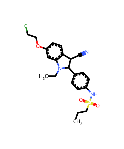 CCCS(=O)(=O)Nc1ccc(C2C(C#N)c3ccc(OCCCl)cc3N2CC)cc1